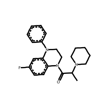 CC(C(=O)N1CCN(c2ccccc2)c2cc(F)ccc21)N1CCCCC1